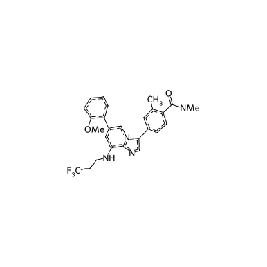 CNC(=O)c1ccc(-c2cnc3c(NCCC(F)(F)F)cc(-c4ccccc4OC)cn23)cc1C